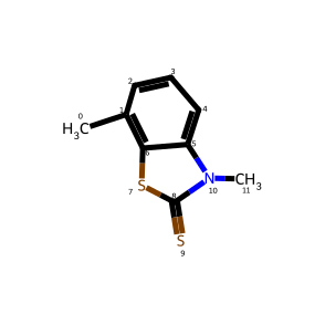 Cc1cccc2c1sc(=S)n2C